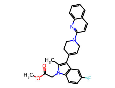 COC(=O)Cn1c(C)c(C2=CCN(c3ccc4ccccc4n3)CC2)c2cc(F)ccc21